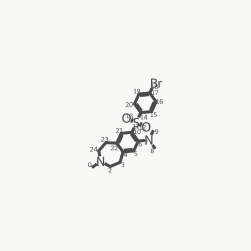 CN1CCc2cc(N(C)C)c(S(=O)(=O)c3ccc(Br)cc3)cc2CC1